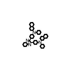 c1ccc(N(c2ccc(-c3nc4ccccc4nc3-c3ccc(N(c4ccccc4)c4ccc5ccccc5c4)cc3)cc2)c2ccc3ccccc3c2)cc1